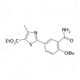 CCOC(=O)c1sc(-c2ccc(OCC(C)C)c(C(N)=O)c2)nc1C